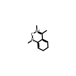 CC1=[N+](C)[CH-]N(C)C2=CCCC=C21